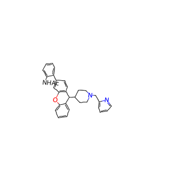 CC(=O)Nc1ccccc1-c1ccc2c(c1)Oc1ccccc1C2C1CCN(Cc2ccccn2)CC1